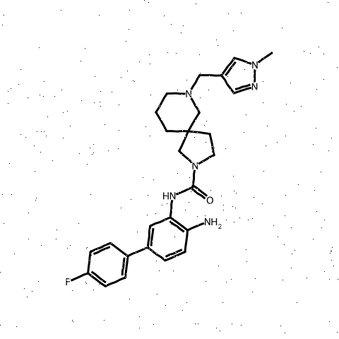 Cn1cc(CN2CCCC3(CCN(C(=O)Nc4cc(-c5ccc(F)cc5)ccc4N)C3)C2)cn1